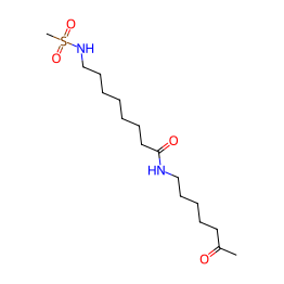 CC(=O)CCCCCNC(=O)CCCCCCCNS(C)(=O)=O